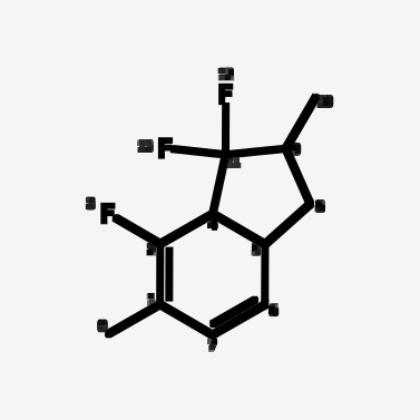 CC1=C(F)C2C(C=C1)CC(C)C2(F)F